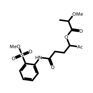 COC(C)C(=O)OC(CCC(=O)Nc1ccccc1S(=O)(=O)OC)C(C)=O